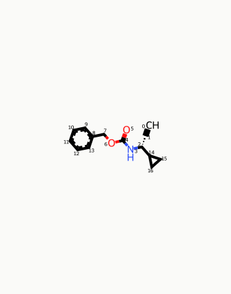 C#C[C@@H](NC(=O)OCc1ccccc1)C1CC1